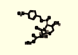 C=C1CS[C@H]2[C@H](NC(=O)OCCCC)C(=O)N2C1C(=O)OCc1ccc([N+](=O)[O-])cc1